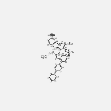 CCCC1=Cc2c(-c3ccc(-c4ccccc4)cc3)cccc2C1c1c2c(cc(C(C)(C)C)[c]1[Zr+2][SiH](C)C)-c1cc(C(C)(C)C)ccc1C2.[Cl-].[Cl-]